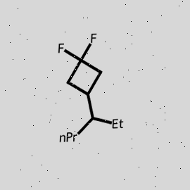 CCCC(CC)C1CC(F)(F)C1